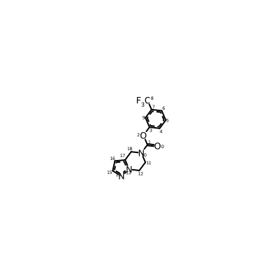 O=C(Oc1cccc(C(F)(F)F)c1)N1CCn2nccc2C1